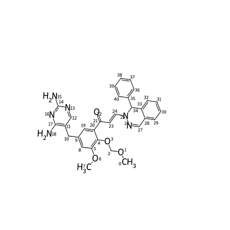 COCOc1c(OC)cc(Cc2cnc(N)nc2N)cc1C(=O)/C=C/N1N=Cc2ccccc2C1c1ccccc1